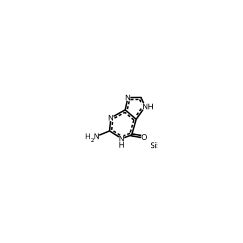 Nc1nc2nc[nH]c2c(=O)[nH]1.[Si]